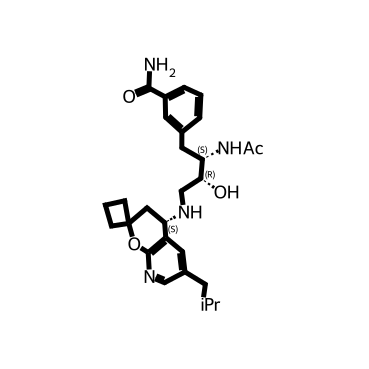 CC(=O)N[C@@H](Cc1cccc(C(N)=O)c1)[C@H](O)CN[C@H]1CC2(CCC2)Oc2ncc(CC(C)C)cc21